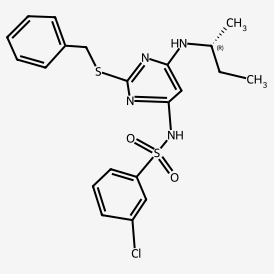 CC[C@@H](C)Nc1cc(NS(=O)(=O)c2cccc(Cl)c2)nc(SCc2ccccc2)n1